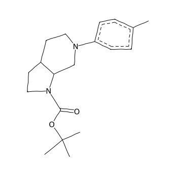 Cc1ccc(N2CCC3CCN(C(=O)OC(C)(C)C)C3C2)cc1